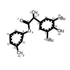 CCCCc1cc(C(C)C(=O)Oc2cccc(C)c2)cc(CCCC)c1O